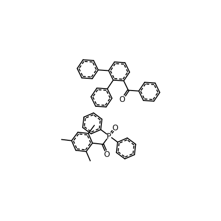 Cc1cc(C)c(C(=O)P(=O)(c2ccccc2)c2ccccc2)c(C)c1.O=C(c1ccccc1)c1cccc(-c2ccccc2)c1-c1ccccc1